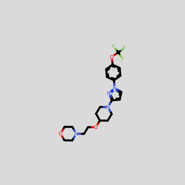 FC(F)(F)Oc1ccc(-n2ccc(N3CCC(OCCN4CCOCC4)CC3)n2)cc1